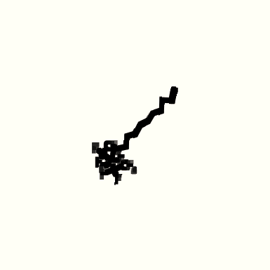 C=CCCCCCCCCCP(F)(F)(C(F)(F)C(F)(F)F)C(F)(F)C(F)(F)F